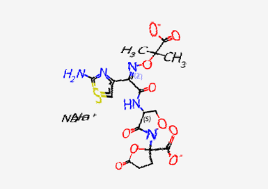 CC(C)(O/N=C(\C(=O)N[C@H]1CON(C2(C(=O)[O-])CCC(=O)O2)C1=O)c1csc(N)n1)C(=O)[O-].[Na+].[Na+]